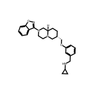 c1cc(CNC2CC2)cc(OC[C@H]2CC[C@H]3CN(c4noc5ccccc45)CCN3C2)c1